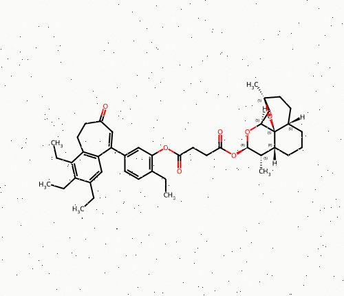 CCc1ccc(C2=CC(=O)CCc3c2cc(CC)c(CC)c3CC)cc1OC(=O)CCC(=O)O[C@H]1O[C@H]2C[C@]3(C)CC[C@@H]4CCC[C@H]([C@@H]1C)[C@@]42OO3